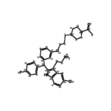 CC(=O)N1CCN(CCCOc2cccc(C(c3ccc(F)cc3)c3[nH]c4ccc(Cl)cc4c3CCN)c2)CC1